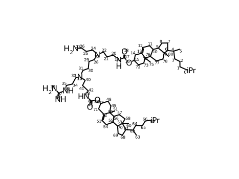 CC(C)CCCC(C)C1CCC2C3CC=C4CC(OC(=O)NCCCN(CCCN)CCCCN(CCCNC(=N)N)CCCNC(=O)OC5CCC6(C)C(=CCC7C6CCC6(C)C(C(C)CCCC(C)C)CCC76)C5)CCC4(C)C3CCC12C